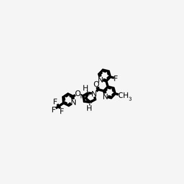 Cc1cnc(C(=O)N2C[C@H]3C[C@@H](Oc4ccc(C(F)(F)F)cn4)[C@@H]2C3)c(-c2ncccc2F)c1